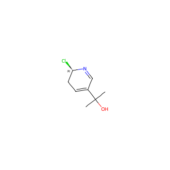 CC(C)(O)C1=CC[C@@H](Cl)N=C1